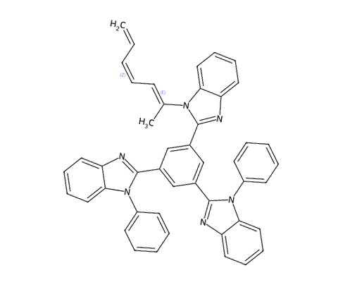 C=C/C=C\C=C(/C)n1c(-c2cc(-c3nc4ccccc4n3-c3ccccc3)cc(-c3nc4ccccc4n3-c3ccccc3)c2)nc2ccccc21